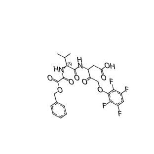 CC(C)[C@H](NC(=O)C(=O)OCc1ccccc1)C(=O)NC(CC(=O)O)C(=O)COc1c(F)c(F)cc(F)c1F